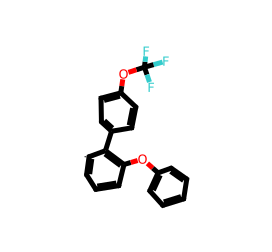 FC(F)(F)Oc1ccc(-c2[c]cccc2Oc2ccccc2)cc1